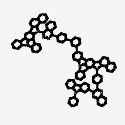 c1ccc(-n2c3ccccc3c3ccc(-c4nc5ccccc5nc4-c4ccc(-n5c6c7ccccc7ccc6c6cc7c8cc(-c9cccc(-c%10ccc(-c%11nnc(-n%12c%13c%14ccccc%14ccc%13c%13cc%14c%15ccccc%15n%15c%16ccccc%16c(c%13%12)c%14%15)c%12ccccc%11%12)cc%10)c9)ccc8n8c9ccccc9c(c65)c78)cc4)cc32)cc1